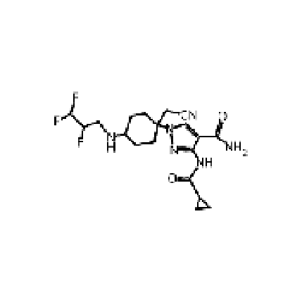 N#CCC1(n2cc(C(N)=O)c(NC(=O)C3CC3)n2)CCC(NCC(F)C(F)F)CC1